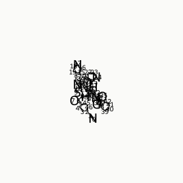 N#Cc1ccc(C(=O)CSC2=NC(Cc3ccncc3)(Cc3ccncc3)C(=O)N2[C@H]2[C@@H]3CN(S(=O)(=O)c4ccccc4)C[C@@H]32)cc1